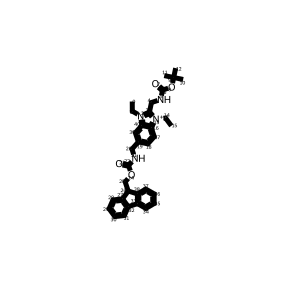 CCn1c(CNC(=O)OC(C)(C)C)[n+](CC)c2ccc(CNC(=O)OCC3c4ccccc4-c4ccccc43)cc21